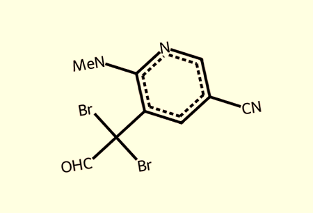 CNc1ncc(C#N)cc1C(Br)(Br)C=O